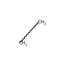 [CH2]C=CCCCCCCCCCCCCCCCCC[CH2]